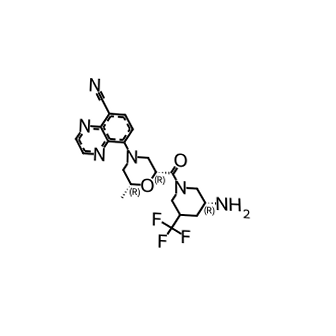 C[C@@H]1CN(c2ccc(C#N)c3nccnc23)C[C@H](C(=O)N2CC(C(F)(F)F)C[C@@H](N)C2)O1